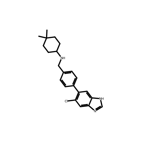 CC1(C)CCC(NCc2ccc(-c3cc4[nH]cnc4cc3Cl)cc2)CC1